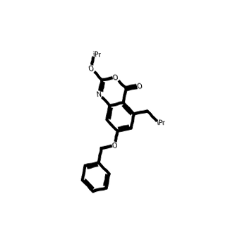 CC(C)Cc1cc(OCc2ccccc2)cc2nc(OC(C)C)oc(=O)c12